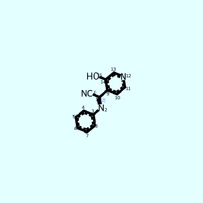 N#C/C(=N\c1ccccc1)c1ccncc1O